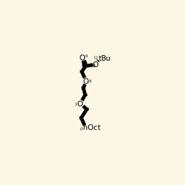 CCCCCCCCCCOCCOCC(=O)OC(C)(C)C